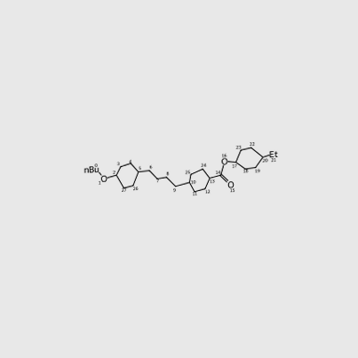 CCCCOC1CCC(CCCCC2CCC(C(=O)OC3CCC(CC)CC3)CC2)CC1